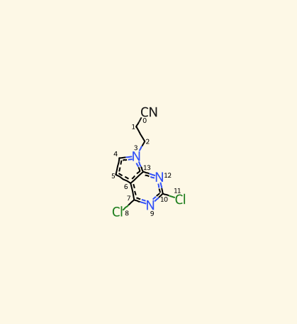 N#CCCn1ccc2c(Cl)nc(Cl)nc21